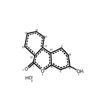 Cl.O=c1oc2cc(O)ccc2c2ccccc12